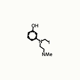 CNCCN(CI)c1cccc(O)c1